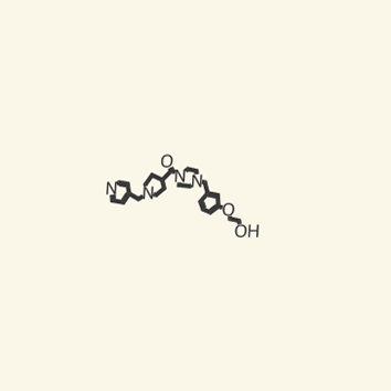 O=C(C1CCN(Cc2ccncc2)CC1)N1CCN(Cc2cccc(OCCO)c2)CC1